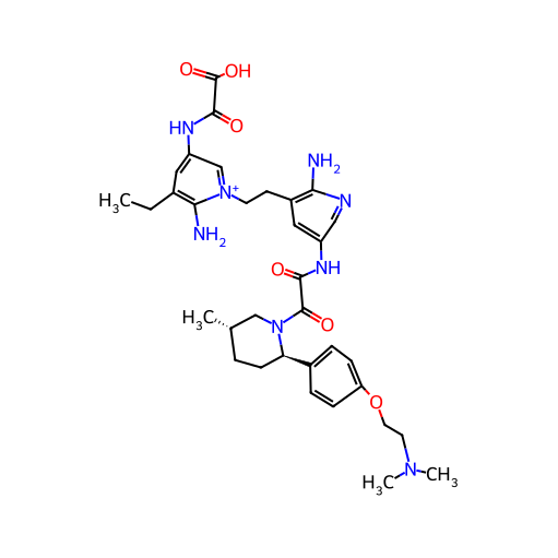 CCc1cc(NC(=O)C(=O)O)c[n+](CCc2cc(NC(=O)C(=O)N3C[C@@H](C)CC[C@@H]3c3ccc(OCCN(C)C)cc3)cnc2N)c1N